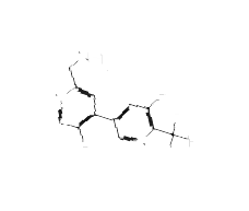 NCc1cc(-c2cnc(C(F)(F)F)c(F)c2)c(F)cn1